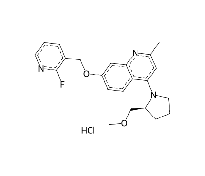 COC[C@@H]1CCCN1c1cc(C)nc2cc(OCc3cccnc3F)ccc12.Cl